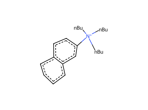 CCCC[N+](CCCC)(CCCC)c1ccc2ccccc2c1